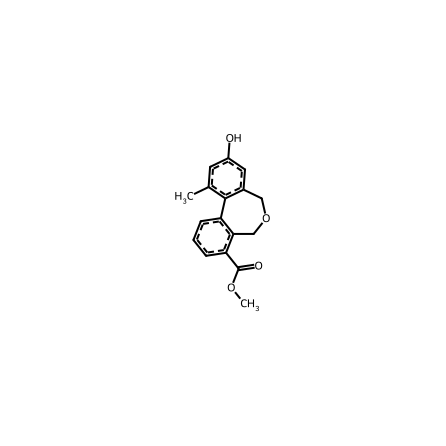 COC(=O)c1cccc2c1COCc1cc(O)cc(C)c1-2